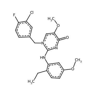 CCc1ccc(OC)cc1Nc1nc(=O)c(OC)cn1Cc1ccc(F)c(Cl)c1